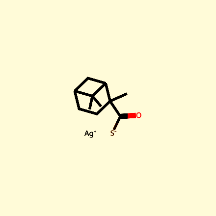 CC1(C(=O)[S-])CCC2CC1C2(C)C.[Ag+]